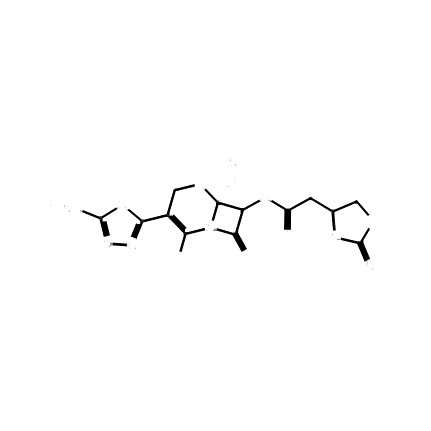 CC(=O)Nc1nnc(C2=C(C(=O)[O-])N3C(=O)C(NC(=O)CC4CSC(=N)N4)[C@@H]3SC2)[nH]1.[Na+]